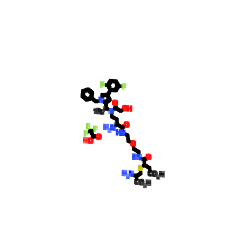 CC(C)(C)[C@H](c1cc(-c2cc(F)ccc2F)cn1Cc1ccccc1)N(CC[C@H](N)C(=O)NCCOCCNC(=O)C(CC(=O)O)SC[C@H](N)C(=O)O)C(=O)CO.O=C(O)C(F)(F)F